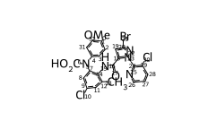 COc1ccc(N(C(=O)O)c2cc(Cl)cc(C)c2NC(=O)c2cc(Br)nn2-c2ncccc2Cl)cc1